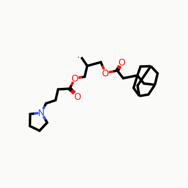 [CH2]C(COC(=O)CCCN1CCCC1)COC(=O)CC12CC3CC(CC(C3)C1)C2